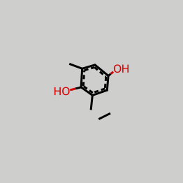 CC.Cc1cc(O)cc(C)c1O